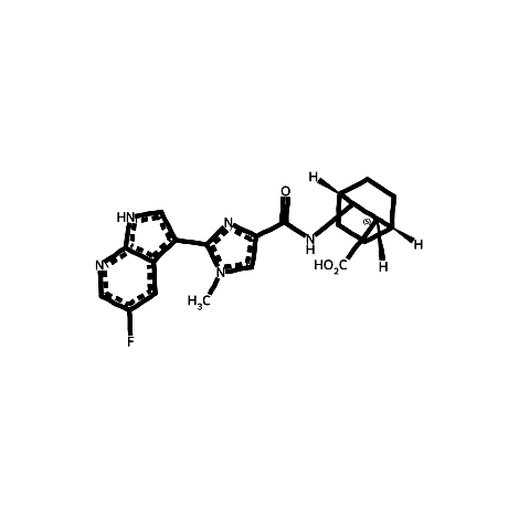 Cn1cc(C(=O)NC2[C@H]3CC[C@H](CC3)[C@@H]2C(=O)O)nc1-c1c[nH]c2ncc(F)cc12